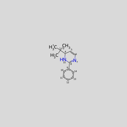 CC(C)(C)C1C=CN=C(c2ccccc2)N1